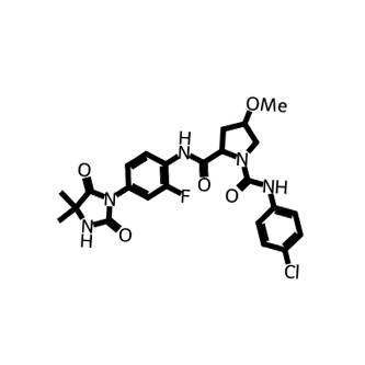 COC1CC(C(=O)Nc2ccc(N3C(=O)NC(C)(C)C3=O)cc2F)N(C(=O)Nc2ccc(Cl)cc2)C1